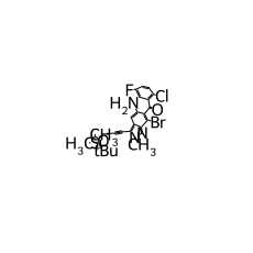 Cn1nc2c(Br)c(C(=O)c3cc(F)ccc3Cl)c(N)cc2c1C#CCO[Si](C)(C)C(C)(C)C